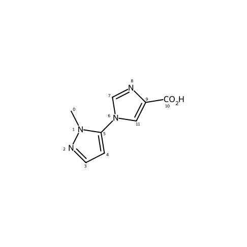 Cn1nccc1-n1cnc(C(=O)O)c1